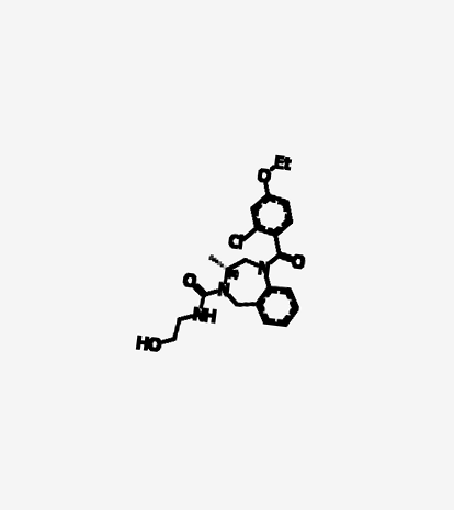 CCOc1ccc(C(=O)N2C[C@@H](C)N(C(=O)NCCO)Cc3ccccc32)c(Cl)c1